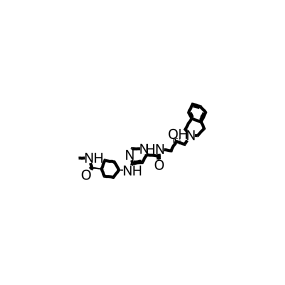 CNC(=O)[C@H]1CC[C@H](Nc2cc(C(=O)NC[C@H](O)CN3CCc4ccccc4C3)ncn2)CC1